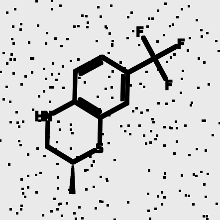 C[C@@H]1CNc2ccc(C(F)(F)F)cc2S1